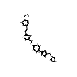 FC(F)(F)Sc1ccc(/C=C/c2nc(COc3ccc(-c4nc(Cn5ccnc5)co4)cc3)co2)cc1